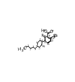 CCCCCC1CCC(c2ccc(Br)c(C(=O)O)c2F)CC1